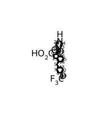 O=C(O)C1Cc2c(Cc3ccc(OC(F)(F)F)cc3)cccc2C1S(=O)(=O)N1CCNCC1